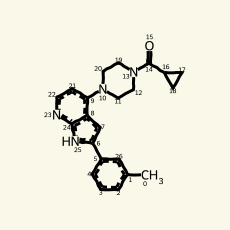 Cc1cccc(-c2cc3c(N4CCN(C(=O)C5CC5)CC4)ccnc3[nH]2)c1